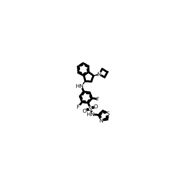 O=S(=O)(Nc1cscn1)c1c(F)cc(N[C@@H]2C[C@H](N3CCC3)c3ccccc32)cc1F